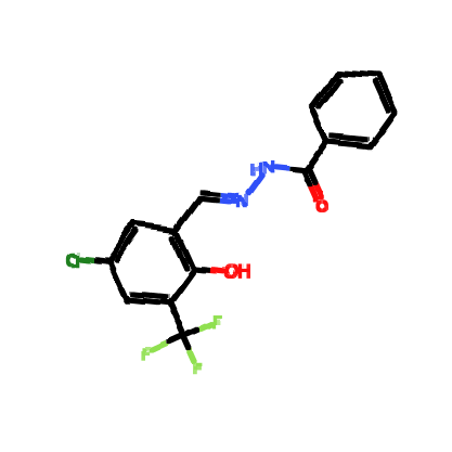 O=C(N/N=C/c1cc(Cl)cc(C(F)(F)F)c1O)c1ccccc1